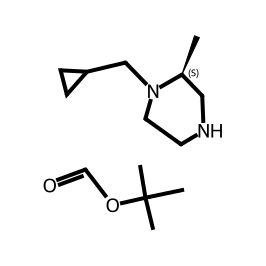 CC(C)(C)OC=O.C[C@H]1CNCCN1CC1CC1